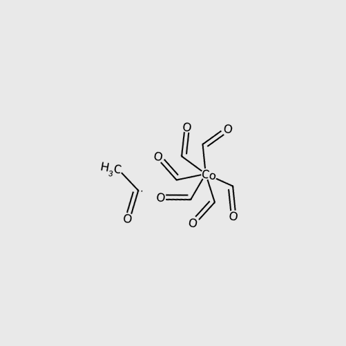 C[C]=O.O=[CH][Co]([CH]=O)([CH]=O)([CH]=O)([CH]=O)[CH]=O